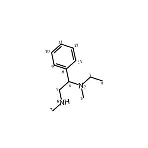 CCN(C)C(CNC)c1ccccc1